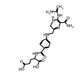 C=C(N)NC1=C(C(N)=O)N=C(CNc2ccc(C(=O)NC(CCC(=O)O)C(=O)O)cc2)CN1